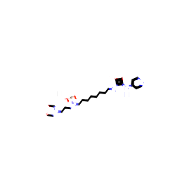 CS(=O)(=O)N(CCCCCCCCNc1c(Nc2ccncc2)c(=O)c1=O)CCCN1CCOCC1